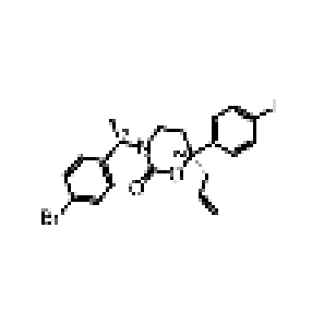 C=CC[C@@]1(c2ccc(F)cc2)CCN([C@H](C)c2ccc(Br)cc2)C(=O)O1